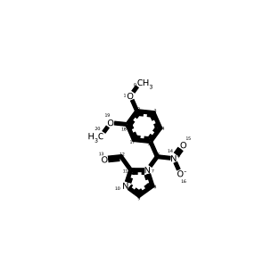 COc1ccc(C(n2ccnc2C=O)[N+](=O)[O-])cc1OC